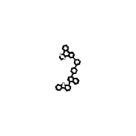 c1cc(-c2ccc(-c3ccc(-c4cccc5c4oc4ccccc45)c4ccccc34)cc2)cc(-c2ccc3c4ccccc4c4nccnc4c3c2)c1